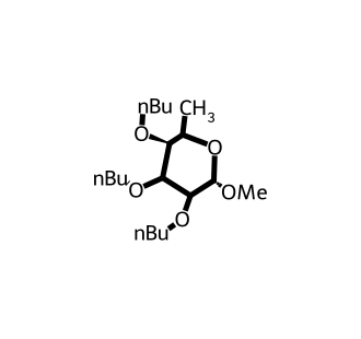 CCCCOC1C(OCCCC)[C@@H](OCCCC)C(C)O[C@@H]1OC